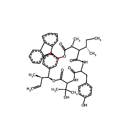 C=C[C@@H](C)[C@H](OC(=O)C(NC(=O)C(Cc1ccc(O)cc1)NC(=O)C([C@@H](C)CC)N(C)C(=O)OCC1c2ccccc2-c2ccccc21)C(C)(C)O)c1ccccc1